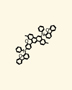 Cc1ccc2c(c1)c(N(c1ccccc1)c1cccc3c1oc1ccccc13)cc1c3ccc(C)c4c3c(cc21)-c1ccc(N(c2ccccc2)c2cccc3c2oc2ccccc23)cc1O4